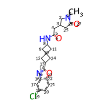 CN1CC(CC(=O)NC2CC3(C2)CC(c2nc4cc(Cl)ccc4o2)C3)CC1=O